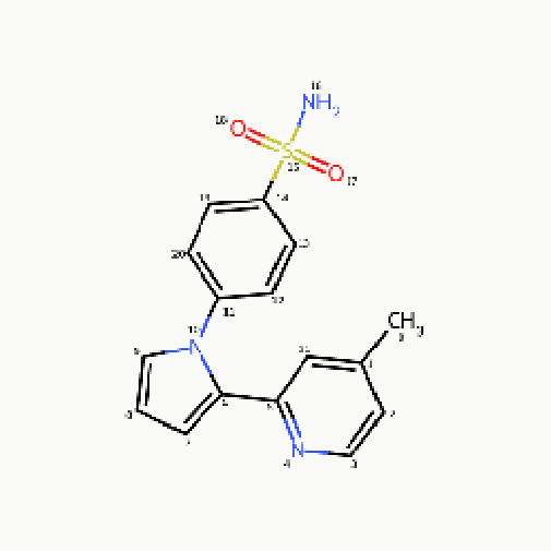 Cc1ccnc(-c2cccn2-c2ccc(S(N)(=O)=O)cc2)c1